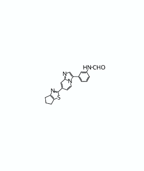 O=CNc1cccc(-c2cnc3cc(-c4nc5c(s4)CCC5)ccn23)c1